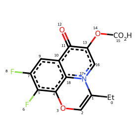 CCC1=COc2c(F)c(F)cc3c(=O)c(OC(=O)O)cn1c23